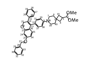 COC(OC)C1CC2(CCN(c3ccc(C4=C(c5ccccc5)COc5cc(OCc6ccccc6)ccc54)cc3)CC2)C1